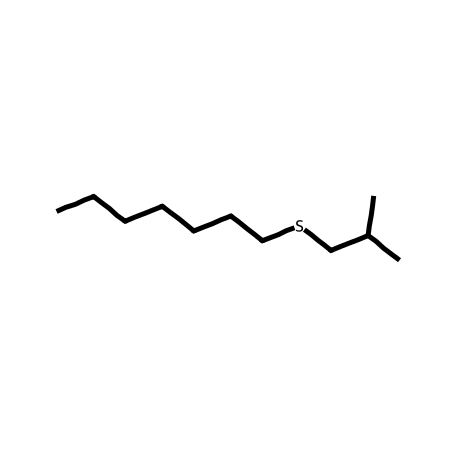 CCCCCCCSCC(C)C